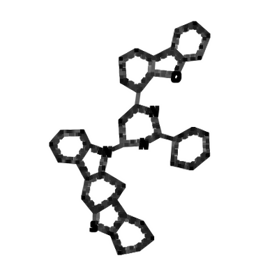 c1ccc(-c2nc(-c3cccc4c3oc3ccccc34)cc(-n3c4ccccc4c4cc5sc6ccccc6c5cc43)n2)cc1